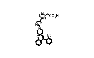 CCc1ccccc1C1=CC2(CCN(c3ncc(-c4nnn(CC(=O)O)n4)s3)CC2)Oc2ccccc21